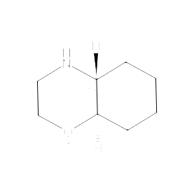 C1CC[C@H]2OCCN[C@@H]2C1